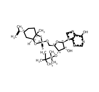 C=C(C)[C@@H]1CC[C@]2(C)S[P@@](=S)(OC[C@H]3O[C@@H](n4cnc5c(O)ncnc54)[C@H](O)[C@@H]3O[Si](C)(C)C(C)(C)C)O[C@H]2C1